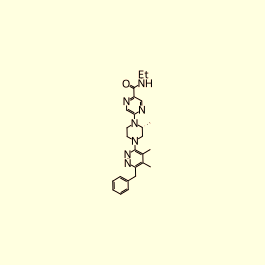 CCNC(=O)c1cnc(N2CCN(c3nnc(Cc4ccccc4)c(C)c3C)C[C@H]2C)cn1